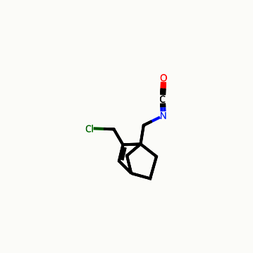 O=C=NCC12CCC(C=C1CCl)C2